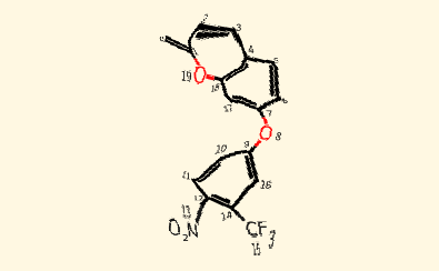 C=C1C=Cc2ccc(Oc3ccc([N+](=O)[O-])c(C(F)(F)F)c3)cc2O1